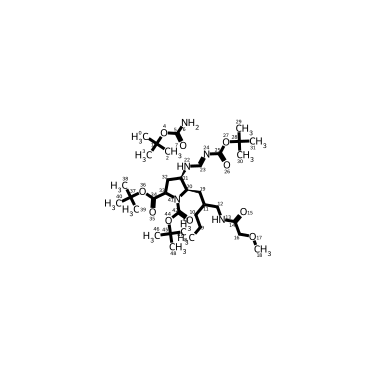 CC(C)(C)OC(N)=O.CCCC(CNC(=O)COC)C[C@@H]1[C@H](NC=NC(=O)OC(C)(C)C)CC(C(=O)OC(C)(C)C)N1C(=O)OC(C)(C)C